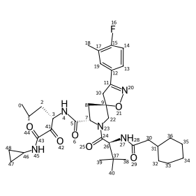 CCC[C@H](NC(=O)[C@@H]1C[C@]2(CC(c3ccc(F)c(C)c3)=NO2)CN1C(=O)[C@@H](NC(=O)CC1CCCCC1)C(C)(C)C)C(=O)C(=O)NC1CC1